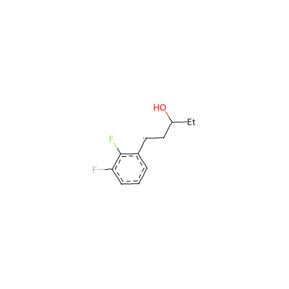 CCC(O)C[CH]c1cccc(F)c1F